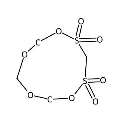 O=S1(=O)CS(=O)(=O)OCOCOCO1